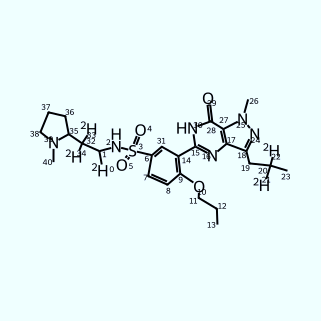 [2H]C(NS(=O)(=O)c1ccc(OCCC)c(-c2nc3c(CC([2H])([2H])C)nn(C)c3c(=O)[nH]2)c1)C([2H])([2H])C1CCCN1C